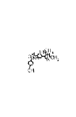 C#Cc1ccc(C(=O)NC2(c3ccc(-c4cnc(C)nc4NC)cc3)CC2)cc1